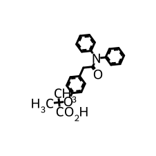 CC(C)(Oc1ccc(CC(=O)N(c2ccccc2)c2ccccc2)cc1)C(=O)O